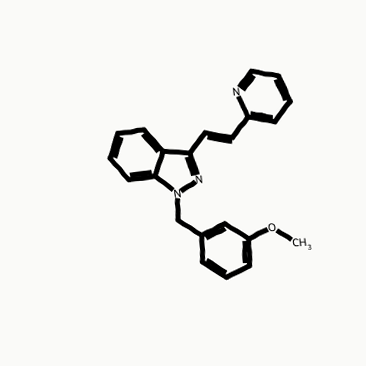 COc1cccc(Cn2nc(C=Cc3ccccn3)c3ccccc32)c1